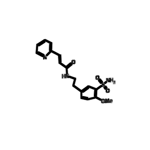 COc1ccc(CCNC(=O)C=Cc2ccccn2)cc1S(N)(=O)=O